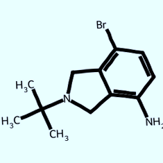 CC(C)(C)N1Cc2c(N)ccc(Br)c2C1